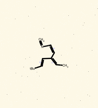 C=N\C=C/C(=C\C)/C=C/C(C)(C)C